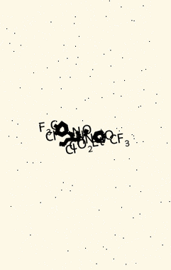 C=C(Cl)CC1(C(=O)OCC)CN(C(=O)Nc2ccc(OC(F)(F)F)cc2)N=C1c1ccc(C(F)(F)F)c(Cl)c1